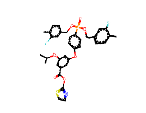 Cc1ccc(COP(=O)(OCc2ccc(C)c(F)c2)c2ccc(Oc3cc(OC(C)C)cc(C(=O)Oc4nccs4)c3)cc2)cc1F